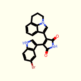 O=C1NC(=O)C(c2cn3c4c(cccc24)CCC3)=C1c1c[nH]c2ccc(Br)cc12